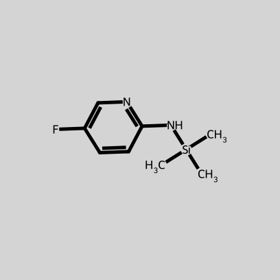 C[Si](C)(C)Nc1ccc(F)cn1